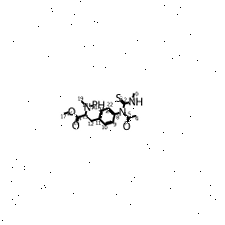 CNC(=S)N(C(C)=O)c1ccc(C[C@@H](C(=O)OC)N(C)P)cc1